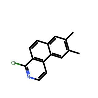 Cc1cc2ccc3c(Cl)nccc3c2cc1C